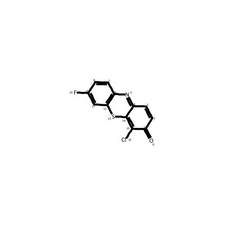 O=c1ccc2nc3ccc(F)cc3sc-2c1Cl